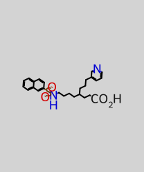 O=C(O)CCC(CCCCNS(=O)(=O)c1ccc2ccccc2c1)CCCc1cccnc1